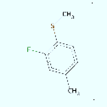 CSc1ccc(C)cc1F